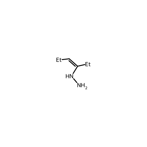 CC/C=C(/CC)NN